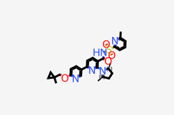 Cc1cccc(S(=O)(=O)NC(=O)c2ccc(-c3ccc(OCC4(C)CC4)nc3)nc2N2[C@H](C)CC[C@@H]2C)n1